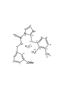 COc1cccc(COC(=O)n2ccnc2[C@@H](C)c2cccc(C)c2C)c1